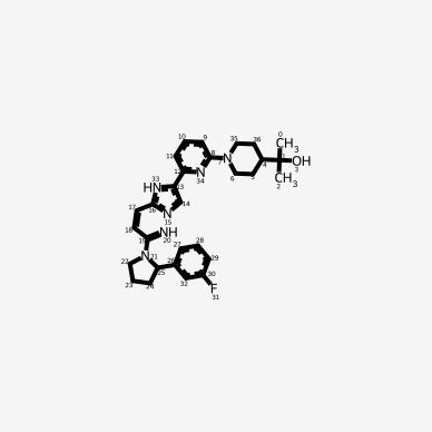 CC(C)(O)C1CCN(c2cccc(-c3cnc(/C=C\C(=N)N4CCCC4c4cccc(F)c4)[nH]3)n2)CC1